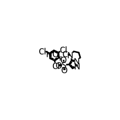 O=C(O)N1CCCn2ncc(S(=O)(=O)Oc3c(Cl)cc(Cl)cc3Cl)c21